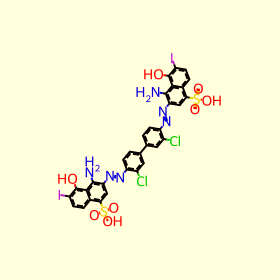 Nc1c(N=Nc2ccc(-c3ccc(N=Nc4cc(S(=O)(=O)O)c5ccc(I)c(O)c5c4N)c(Cl)c3)cc2Cl)cc(S(=O)(=O)O)c2ccc(I)c(O)c12